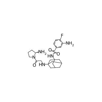 Nc1cc(S(=O)(=O)NC23CC4CC(CC(NCC(=O)N5CCC[C@H]5N)(C4)C2)C3)ccc1F